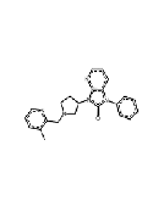 Cc1cccnc1CN1CCC(n2c(=O)n(-c3ccccc3)c3cccnc32)C1